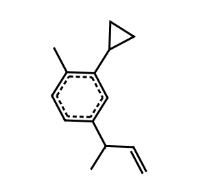 C=C[C](C)c1ccc(C)c(C2CC2)c1